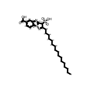 CCCCCCCCCCCCCCCCCC1=Nn2c(nc3cc(C(=O)O)ccc32)C1S(=O)(=O)O